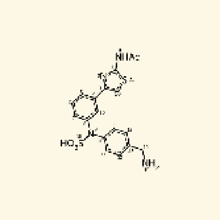 CC(=O)Nc1nc(-c2cccc(N(c3ccc(CN)cc3)S(=O)(=O)O)c2)cs1